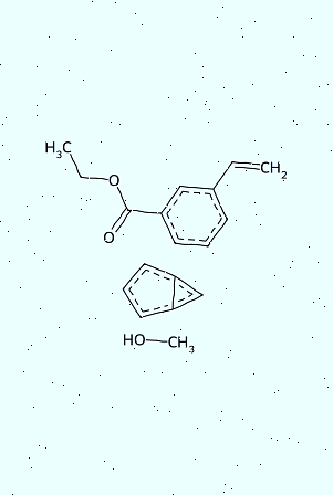 C=Cc1cccc(C(=O)OCC)c1.CO.c1cc2cc-2c1